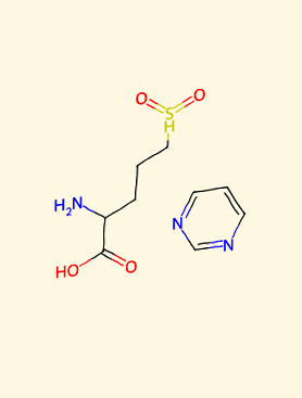 NC(CCC[SH](=O)=O)C(=O)O.c1cncnc1